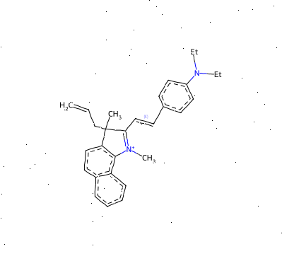 C=CCC1(C)C(/C=C/c2ccc(N(CC)CC)cc2)=[N+](C)c2c1ccc1ccccc21